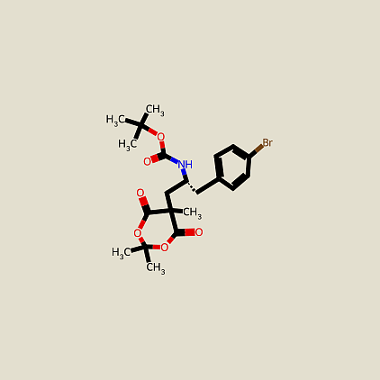 CC(C)(C)OC(=O)N[C@H](Cc1ccc(Br)cc1)CC1(C)C(=O)OC(C)(C)OC1=O